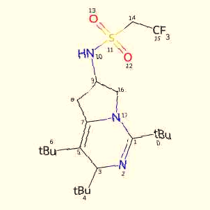 CC(C)(C)C1=NC(C(C)(C)C)C(C(C)(C)C)=C2CC(NS(=O)(=O)CC(F)(F)F)CN12